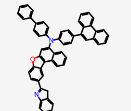 c1ccc(-c2ccc(N(c3ccc(-c4cc5ccccc5c5ccccc45)cc3)c3cc4oc5ccc(C6=Nc7ccccc7C6)cc5c4c4ccccc34)cc2)cc1